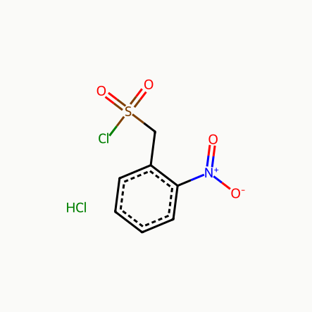 Cl.O=[N+]([O-])c1ccccc1CS(=O)(=O)Cl